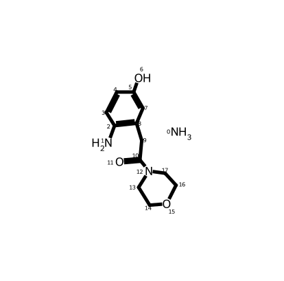 N.Nc1ccc(O)cc1CC(=O)N1CCOCC1